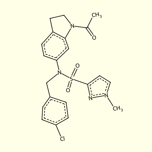 CC(=O)N1CCc2ccc(N(Cc3ccc(Cl)cc3)S(=O)(=O)c3ccn(C)n3)cc21